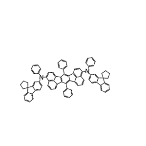 c1ccc(-c2c3c4cccc5c(N(c6ccccc6)c6ccc7c(c6)C6(CCCC6)c6ccccc6-7)ccc(c3c(-c3ccccc3)c3c6ccc(N(c7ccccc7)c7ccc8c(c7)C7(CCCC7)c7ccccc7-8)c7cccc(c23)c76)c54)cc1